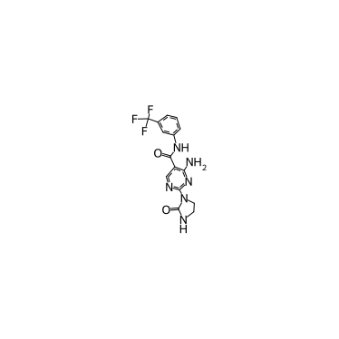 Nc1nc(N2CCNC2=O)ncc1C(=O)Nc1cccc(C(F)(F)F)c1